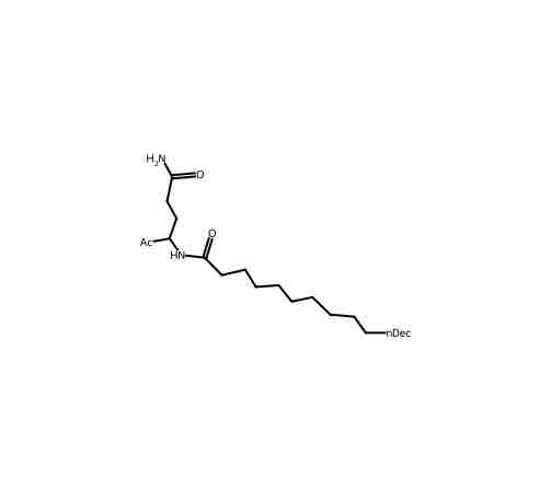 CCCCCCCCCCCCCCCCCCCC(=O)NC(CCC(N)=O)C(C)=O